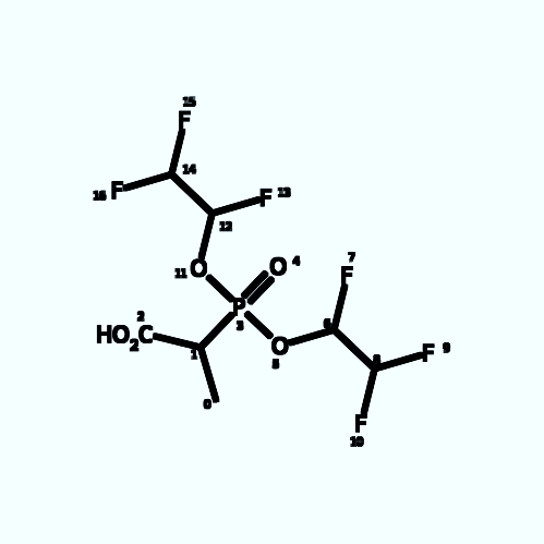 CC(C(=O)O)P(=O)(OC(F)C(F)F)OC(F)C(F)F